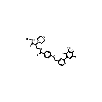 Cc1c(F)c(F)cc(-c2cc(COc3ccc(C(=O)NCC(C(=O)NO)N4CCOCC4)cc3)ccn2)c1F